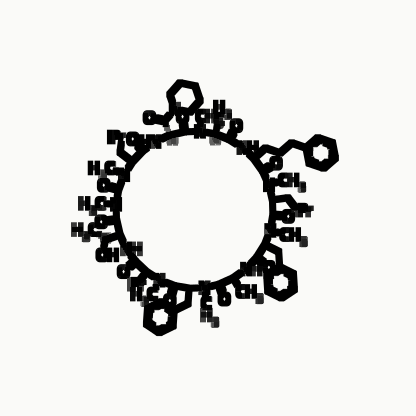 CC(C)CC1C(=O)N(C)C(Cc2ccccc2)C(=O)NC(C)C(=O)N(C)C(Cc2ccccc2)C(=O)N(C)C(C(C)C)C(=O)NC([C@@H](C)O)C(=O)N(C)C(=O)N(C)C(CC(C)C)C(=O)N[C@H](C(=O)N2CCCCC2)C(=O)N(C)[C@@H](C)C(=O)NC(CCCc2ccccc2)C(=O)N1C